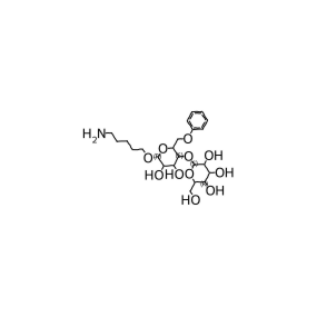 NCCCCCO[C@@H]1OC(COc2ccccc2)[C@@H](O[C@@H]2OC(CO)[C@H](O)C(O)C2O)C(O)C1O